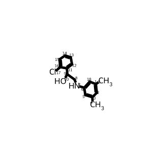 Cc1cc(C)cc(NCC(O)c2ccccc2Cl)c1